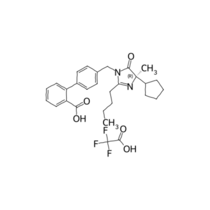 CCCCC1=N[C@](C)(C2CCCC2)C(=O)N1Cc1ccc(-c2ccccc2C(=O)O)cc1.O=C(O)C(F)(F)F